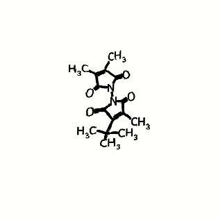 CC1=C(C)C(=O)N(N2C(=O)C(C)=C(C(C)(C)C)C2=O)C1=O